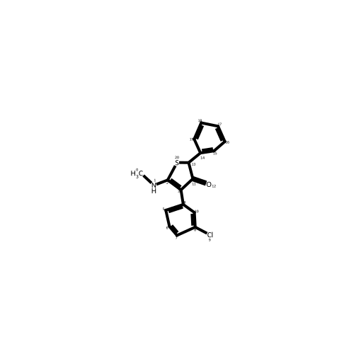 CNC1=C(c2cccc(Cl)c2)C(=O)C(c2ccccc2)S1